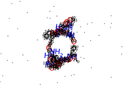 C=CCOC(=O)[C@@H]1Cc2ccc(cc2)OCc2cn(nn2)[C@H]2C[C@H](N(C(=O)[C@@H](NC(=O)[C@H](C)N(C)C(=O)OC(C)(C)C)C(C)(C)C)C2)C(O)(N[C@H](C)Cc2ccc3ccccc3c2)N[C@H](C(=O)OC)Cc2ccc(cc2)OC/C(N)=C/N[C@H]2C[C@@H](C(=O)N[C@@H](Cc3ccc4ccccc4c3)C(=O)N1)N(C(=O)[C@@H](NC(=O)[C@H](C)N(C)C(=O)OC(C)(C)C)C(C)(C)C)C2